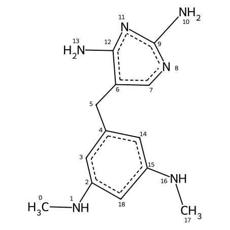 CNc1cc(Cc2cnc(N)nc2N)cc(NC)c1